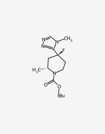 C[C@@H]1C[C@](F)(c2nncn2C)CCN1C(=O)OC(C)(C)C